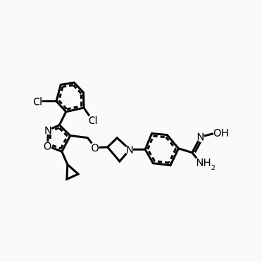 N/C(=N\O)c1ccc(N2CC(OCc3c(-c4c(Cl)cccc4Cl)noc3C3CC3)C2)cc1